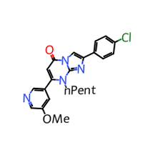 CCCCCn1c(-c2cncc(OC)c2)cc(=O)n2cc(-c3ccc(Cl)cc3)nc12